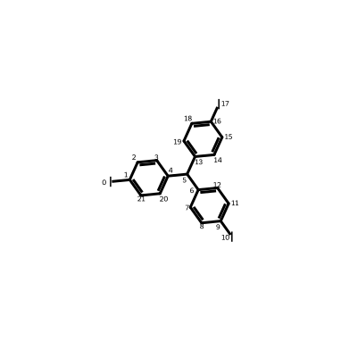 Ic1ccc(C(c2ccc(I)cc2)c2ccc(I)cc2)cc1